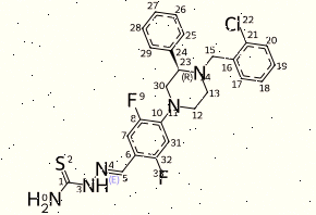 NC(=S)N/N=C/c1cc(F)c(N2CCN(Cc3ccccc3Cl)[C@H](c3ccccc3)C2)cc1F